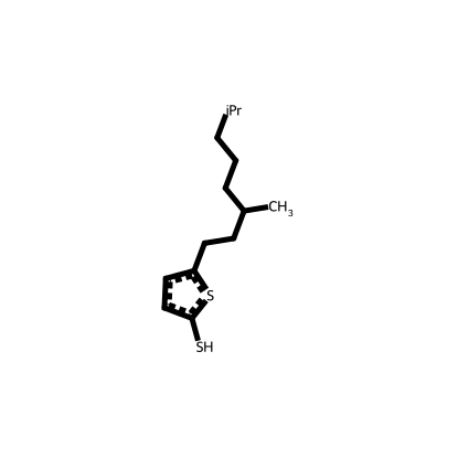 CC(C)CCCC(C)CCc1ccc(S)s1